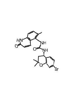 Cc1ccc2[nH]c(=O)ccc2c1NC(=O)N[C@@H]1CC(C)(C)Oc2cc(Br)ccc21